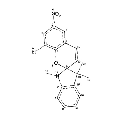 CCc1cc([N+](=O)[O-])cc2c1OC1(C=C2)N(C)c2ccccc2C1(C)C